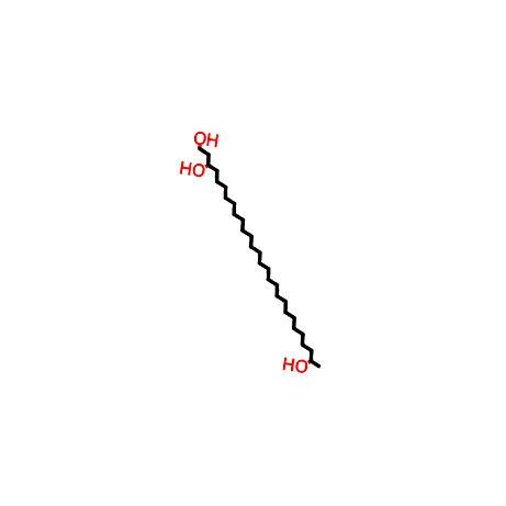 CC(O)CCCCCCCCCCCCCCCCCCCCCCCC(O)CCO